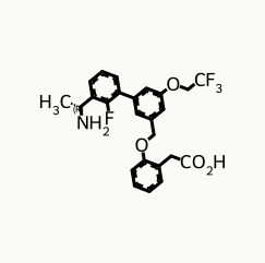 C[C@@H](N)c1cccc(-c2cc(COc3ccccc3CC(=O)O)cc(OCC(F)(F)F)c2)c1F